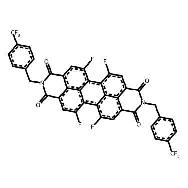 O=C1c2cc(F)c3c4c(F)cc5c6c(cc(F)c(c7c(F)cc(c2c37)C(=O)N1Cc1ccc(C(F)(F)F)cc1)c64)C(=O)N(Cc1ccc(C(F)(F)F)cc1)C5=O